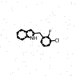 Fc1c(Cl)cccc1Cc1cc2ccccc2[nH]1